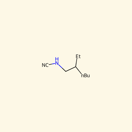 CCCCC(CC)CNC#N